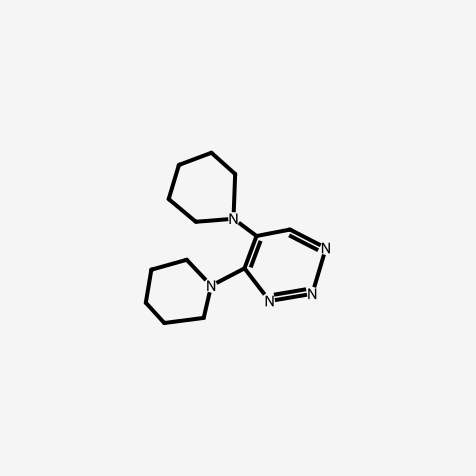 c1nnnc(N2CCCCC2)c1N1CCCCC1